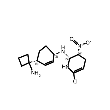 NC1([C@H]2C=C[C@@H](N[C@H]3NC(Cl)=CC[C@H]3[N+](=O)[O-])CC2)CCC1